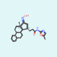 Cc1cnc(NC(=O)CC[C@@H]2C/C(=N\O)[C@@]3(C)CCC4c5ccccc5CCC4C23)o1